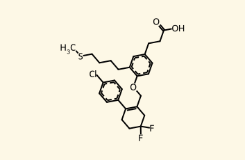 CSCCCCc1cc(CCC(=O)O)ccc1OCC1=C(c2ccc(Cl)cc2)CCC(F)(F)C1